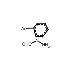 CC(=O)c1ccccc1.NNC=O